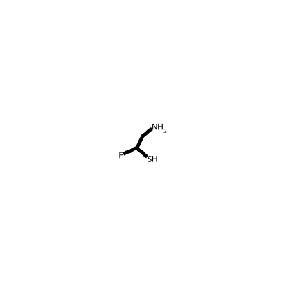 NCC(F)S